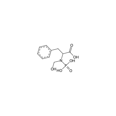 O=C(O)C(Cc1ccccc1)N(CO)P(=O)(O)O